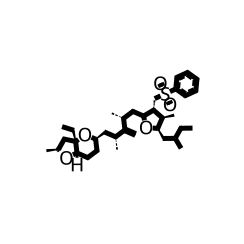 C=C([C@H](C)CC1O[C@H](CC(C)CC)[C@H](C)[C@H]1CS(=O)(=O)c1ccccc1)[C@H](C)C[C@H]1CC[C@@H]2O[C@@H](C)C[C@]2(CC)O1